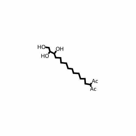 CC(=O)C(CCCCCCCCCCCC(O)C(O)CO)C(C)=O